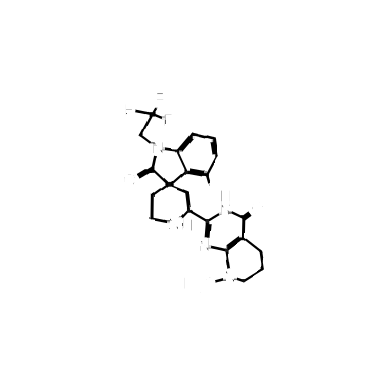 CN1CCCc2c1nc(C1CC3(CCN1)C(=O)N(CC(F)(F)F)c1c[c]cc(F)c13)[nH]c2=O